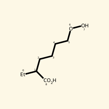 CCC(CCCCOO)C(=O)O